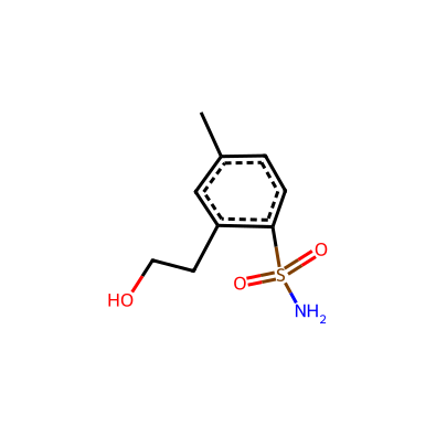 Cc1ccc(S(N)(=O)=O)c(CCO)c1